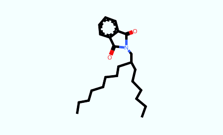 CCCCCCCCC(CCCCCC)CN1C(=O)c2ccccc2C1=O